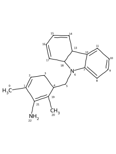 CC1=CCC(CN2c3ccccc3C3C=CC=CC32)C(C)=C1N